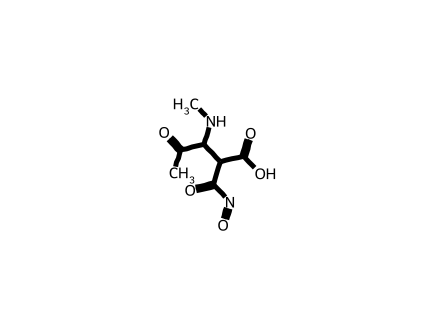 CNC(C(C)=O)C(C(=O)O)C(=O)N=O